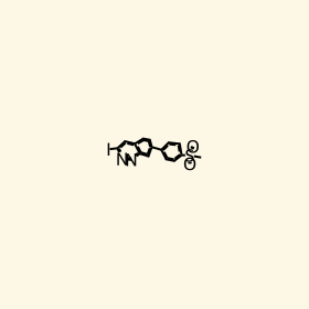 CS(=O)(=O)c1ccc(-c2ccc3cc(I)nnc3c2)cc1